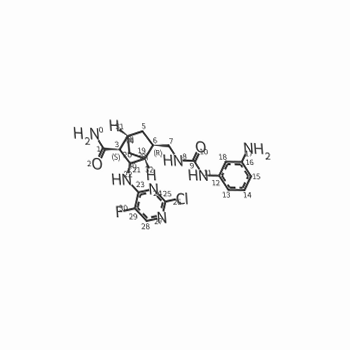 NC(=O)[C@H]1[C@@H]2C[C@@H](CNC(=O)Nc3cccc(N)c3)[C@@H](C2)[C@H]1Nc1nc(Cl)ncc1F